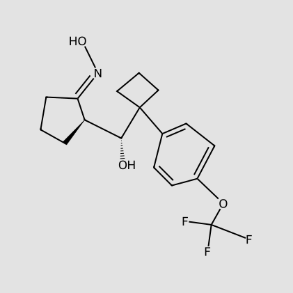 ON=C1CCC[C@@H]1[C@@H](O)C1(c2ccc(OC(F)(F)F)cc2)CCC1